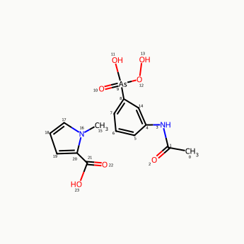 CC(=O)Nc1cccc([As](=O)(O)OO)c1.Cn1cccc1C(=O)O